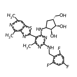 Cc1cc2sc(-c3c(C)nc(NCc4c(F)cc(F)cc4F)nc3NC3C[C@H](CO)[C@@H](O)[C@H]3O)nc2c(C)n1